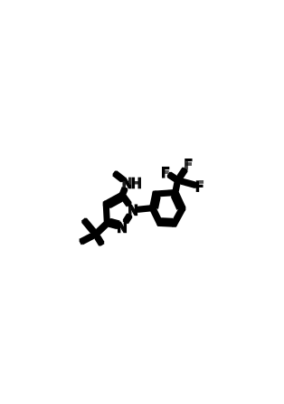 CNc1cc(C(C)(C)C)nn1-c1cccc(C(F)(F)F)c1